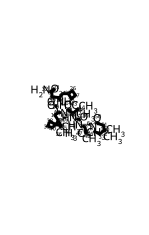 CC1(C)CCN(C[C@@H](NC(=O)N[C@H](C(=O)N2C[C@]3(C[C@H]2C(=O)NC(CC2CCC2)C(=O)C(N)=O)C(C)(C)C32CCC2)C(C)(C)C)C(C)(C)C)C(=O)C1